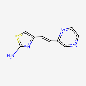 Nc1nc(/C=C/c2cnccn2)cs1